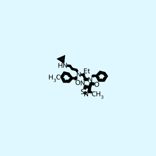 CCC(c1nc2snc(C)c2c(=O)n1Cc1ccccc1)N(CCCNC1CC1)C(=O)c1ccc(C)cc1